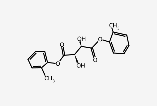 Cc1ccccc1OC(=O)[C@H](O)[C@@H](O)C(=O)Oc1ccccc1C